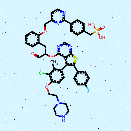 Cc1c(-c2c(-c3ccc(F)cc3)sc3ncnc(OC(C=O)Cc4ccccc4OCc4ccnc(-c5ccc(CP(=O)(O)O)cc5)n4)c23)ccc(OCCN2CCNCC2)c1Cl